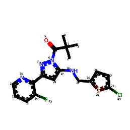 CC(C)(C)C(=O)n1nc(-c2ncccc2F)cc1NCc1ccc(Cl)s1